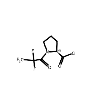 O=C(Cl)[C@@H]1CCCN1C(=O)C(F)(F)C(F)(F)F